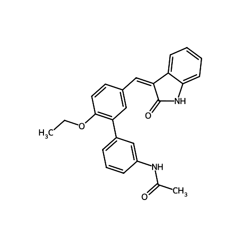 CCOc1ccc(/C=C2\C(=O)Nc3ccccc32)cc1-c1cccc(NC(C)=O)c1